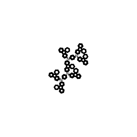 c1ccc2c(c1)-c1ccc(N(c3ccc(N(c4ccc5c(c4)C4(CCCCC4)c4ccccc4-5)c4ccc5c(c4)C4(CCCCC4)c4cc(N(c6ccc(N(c7ccc8c(c7)C7(CCCCC7)c7ccccc7-8)c7ccc8c(c7)C7(CCCCC7)c7ccccc7-8)cc6)c6ccc7c(c6)C6(CCCCC6)c6ccccc6-7)ccc4-5)cc3)c3ccc4c(c3)C3(CCCCC3)c3ccccc3-4)cc1C21CCCCC1